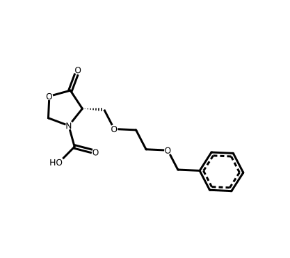 O=C1OCN(C(=O)O)[C@H]1COCCOCc1ccccc1